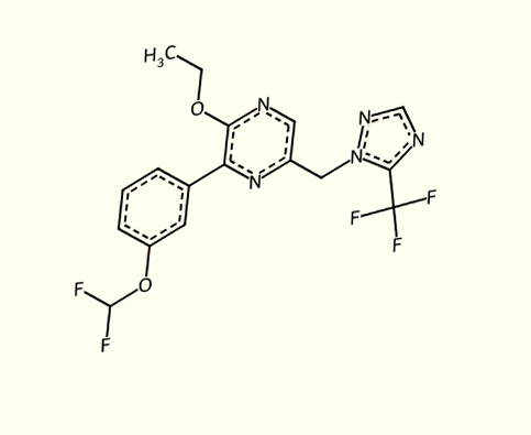 CCOc1ncc(Cn2ncnc2C(F)(F)F)nc1-c1cccc(OC(F)F)c1